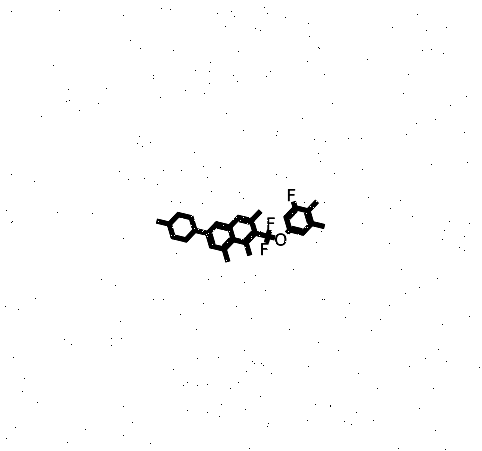 Cc1cc(OC(F)(F)c2c(C)cc3cc(C4CCC(C)CC4)cc(C)c3c2C)cc(F)c1C